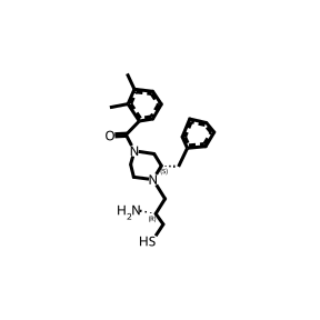 Cc1cccc(C(=O)N2CCN(C[C@@H](N)CS)[C@@H](Cc3ccccc3)C2)c1C